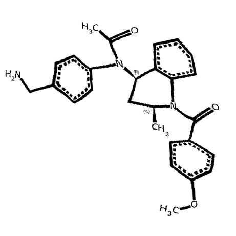 COc1ccc(C(=O)N2c3ccccc3[C@H](N(C(C)=O)c3ccc(CN)cc3)C[C@@H]2C)cc1